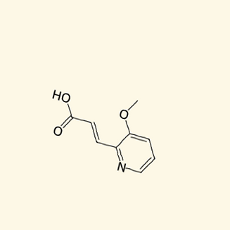 COc1cccnc1/C=C/C(=O)O